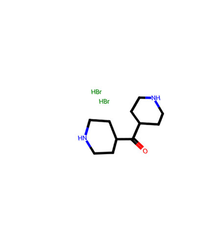 Br.Br.O=C(C1CCNCC1)C1CCNCC1